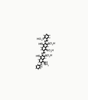 NNc1c(Nc2ccccc2)ccc2c(O)c(N=Nc3ccc4c(O)c(N=Nc5ccccc5S(=O)(=O)O)c(S(=O)(=O)O)cc4c3S(=O)(=O)O)c(S(=O)(=O)O)cc12